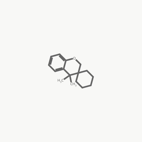 CC1(C)c2ccccc2OCC12CCCCC2